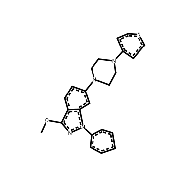 COc1nn(-c2ccccc2)c2cc(N3CCN(c4ccncc4)CC3)ccc12